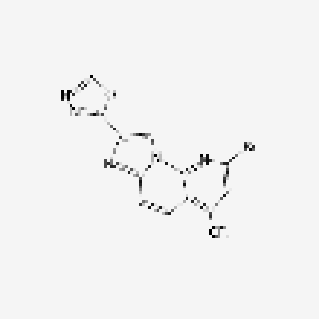 FC(F)(F)c1cc(Br)nc2c1ccc1nc(-c3nnco3)cn12